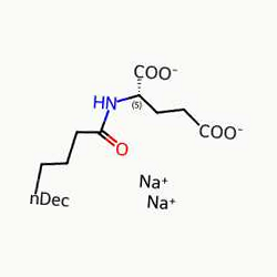 CCCCCCCCCCCCCC(=O)N[C@@H](CCC(=O)[O-])C(=O)[O-].[Na+].[Na+]